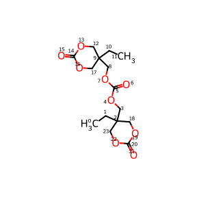 CCC1(COC(=O)OCC2(CC)COC(=O)OC2)COC(=O)OC1